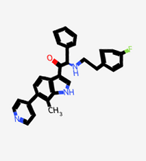 Cc1c(-c2ccncc2)ccc2c(C(=O)[C@H](NCCc3ccc(F)cc3)c3ccccc3)c[nH]c12